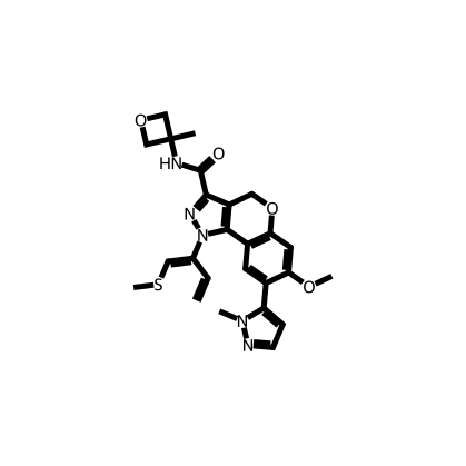 C=C/C(=C\SC)n1nc(C(=O)NC2(C)COC2)c2c1-c1cc(-c3ccnn3C)c(OC)cc1OC2